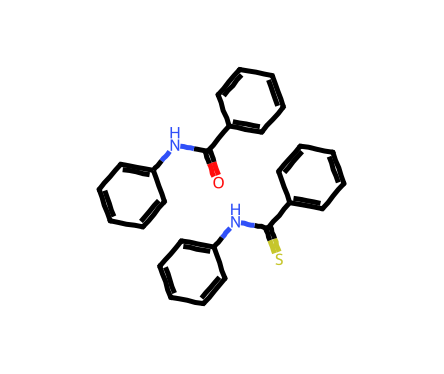 O=C(Nc1ccccc1)c1ccccc1.S=C(Nc1ccccc1)c1ccccc1